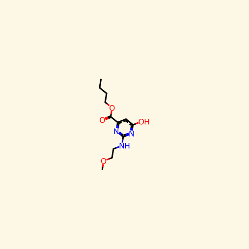 CCCCOC(=O)c1cc(O)nc(NCCOC)n1